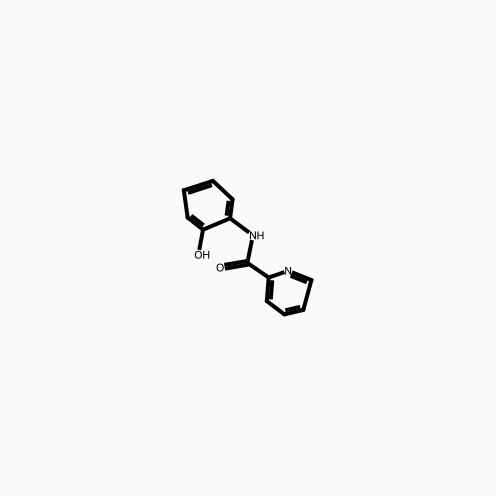 O=C(Nc1ccccc1O)c1ccccn1